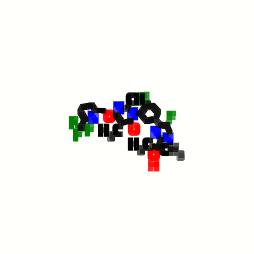 Cc1c(OCc2cccc(C(F)(F)F)n2)nc(C)n(-c2cc(-c3nc(C(C)(C)O)ncc3F)ccc2Cl)c1=O